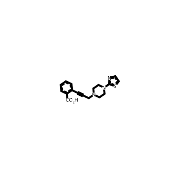 O=C(O)c1ccccc1C#CCN1CCN(c2nccs2)CC1